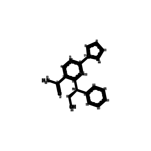 NC(=O)c1cnc(-n2cccn2)nc1[C@H](CO)c1ccccc1